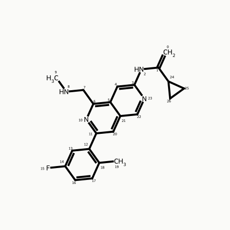 C=C(Nc1cc2c(CNC)nc(-c3cc(F)ccc3C)cc2cn1)C1CC1